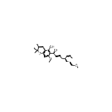 C\C=C/C(=C\C=C\OC)C/C=C/C(=O)c1c(OC)cc2c(c1O)C=C(C)C(C)(C)O2